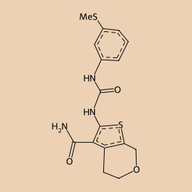 CSc1cccc(NC(=O)Nc2sc3c(c2C(N)=O)CCOC3)c1